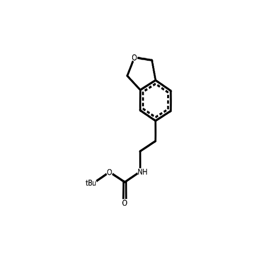 CC(C)(C)OC(=O)NCCc1ccc2c(c1)COC2